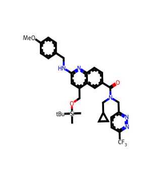 COc1ccc(CNc2cc(CO[Si](C)(C)C(C)(C)C)c3cc(C(=O)N(Cc4ccc(C(F)(F)F)nn4)CC4CC4)ccc3n2)cc1